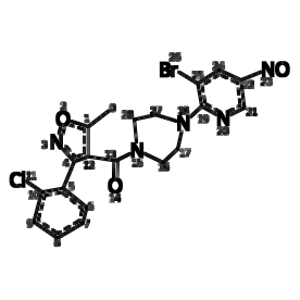 Cc1onc(-c2ccccc2Cl)c1C(=O)N1CCN(c2ncc(N=O)cc2Br)CC1